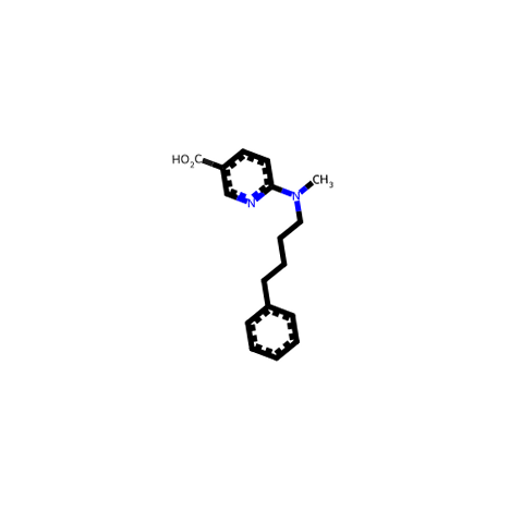 CN(CCCCc1ccccc1)c1ccc(C(=O)O)cn1